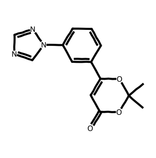 CC1(C)OC(=O)C=C(c2cccc(-n3cncn3)c2)O1